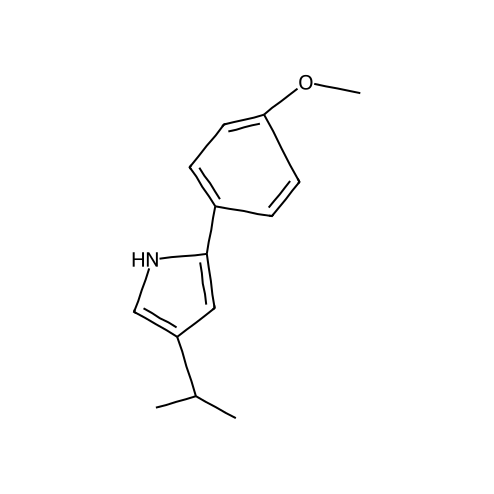 COc1ccc(-c2cc(C(C)C)c[nH]2)cc1